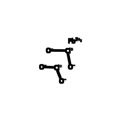 [O-][Cl+][O-].[O-][Cl+][O-].[Pb+2]